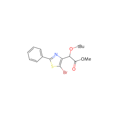 COC(=O)C(OC(C)(C)C)c1nc(-c2ccccc2)sc1Br